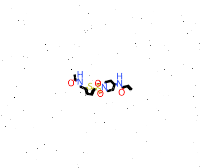 C=CC(=O)NC1CCN(S(=O)(=O)c2ccc(CNC(C)=O)s2)CC1